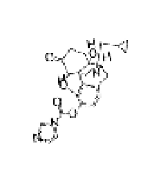 O=C1CC[C@@]2(O)[C@H]3Cc4ccc(OC(=O)n5ccnc5)c5c4[C@@]2(CCN3CC2CC2)[C@H]1O5